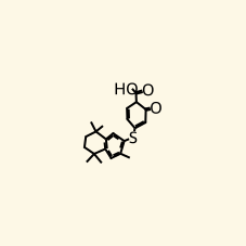 Cc1cc2c(cc1SC1=CC(=O)C(C(=O)O)C=C1)C(C)(C)CCC2(C)C